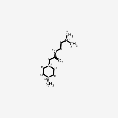 CN(C)CCOC(=O)CN1CCN(C)CC1